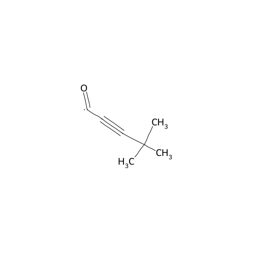 CC(C)(C)C#C[C]=O